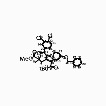 COC(=O)C(C)(C)Cc1c(C(=O)C(C)(C)C)c2cc(OCc3ccccc3)ccn2c1C(=O)c1ccc(Cl)c(Cl)c1